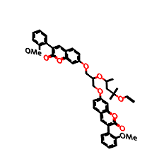 C=COC(C)(C)CC(C)OC(COc1ccc2cc(-c3ccccc3OC)c(=O)oc2c1)COc1ccc2cc(-c3ccccc3OC)c(=O)oc2c1